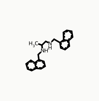 CC(CNCc1cccc2ccccc12)NCc1cccc2ccccc12